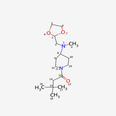 CN(CC1OCCO1)C1CCN(C(=O)CC(C)(C)C)CC1